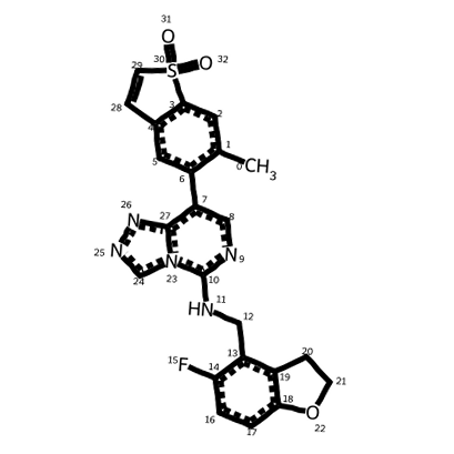 Cc1cc2c(cc1-c1cnc(NCc3c(F)ccc4c3CCO4)n3cnnc13)C=CS2(=O)=O